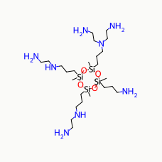 C[Si]1(CCCN)O[Si](C)(CCCNCCN)O[Si](C)(CCCNCCN)O[Si](C)(CCCN(CCN)CCN)O1